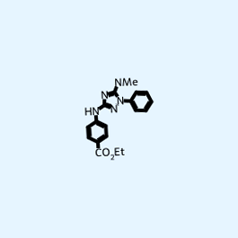 CCOC(=O)c1ccc(Nc2nc(NC)n(-c3ccccc3)n2)cc1